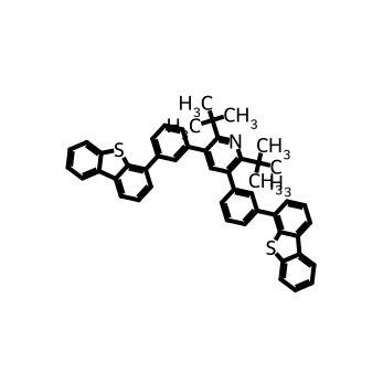 CC(C)(C)c1nc(C(C)(C)C)c(-c2cccc(-c3cccc4c3sc3ccccc34)c2)cc1-c1cccc(-c2cccc3c2sc2ccccc23)c1